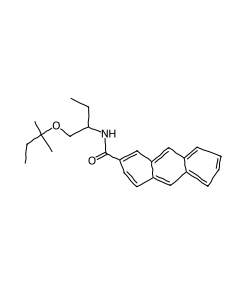 CCC(COC(C)(C)CC)NC(=O)c1ccc2cc3ccccc3cc2c1